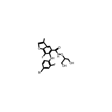 Cc1coc2c(F)c(Nc3ccc(Br)cc3F)c(C(=O)NOC(CO)CO)cc12